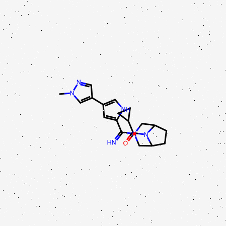 Cn1cc(-c2c[nH]c(C(=N)N3CC4CCC(C3)N4C(=O)C3CC3)c2)cn1